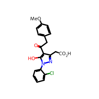 COc1ccc(CC(=O)c2c(CC(=O)O)nn(-c3ccccc3Cl)c2O)cc1